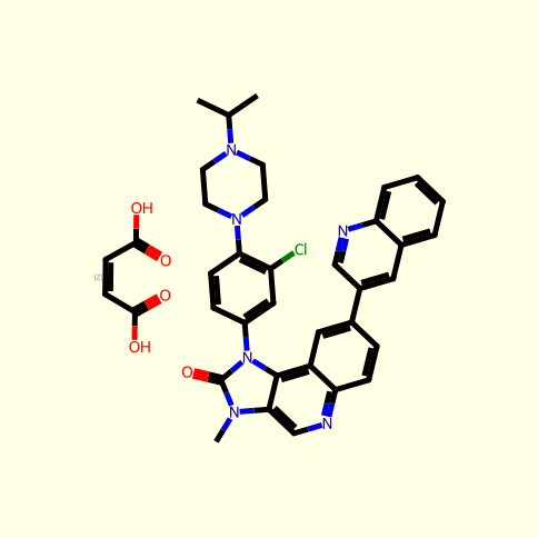 CC(C)N1CCN(c2ccc(-n3c(=O)n(C)c4cnc5ccc(-c6cnc7ccccc7c6)cc5c43)cc2Cl)CC1.O=C(O)/C=C\C(=O)O